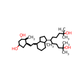 C=C1/C(=C\C=C2/CCC[C@@]3(C)C2CC[C@H]3C(CCCC(C)(C)O)CCCC(C)(C)O)CC(O)C[C@@H]1O